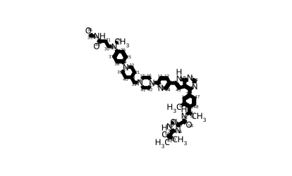 Cc1cc(-c2ncnc3[nH]c(-c4ccc(N5CCN(CC6CCN(c7ccc(N(C)CCC(=O)NC=O)cc7)CC6)CC5)nc4)cc23)ccc1C(C)NC(=O)c1nc(C(C)(C)C)no1